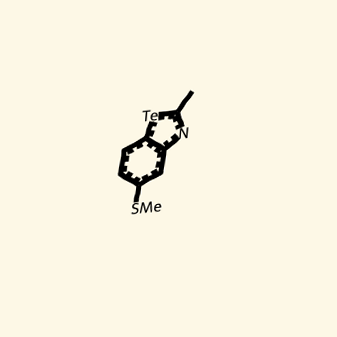 CSc1ccc2[te]c(C)nc2c1